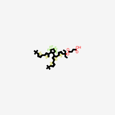 CCC(CC)(OC(=O)CCC(=O)O)c1ccc(-c2sc(-c3ccc(C(C)(C)C)s3)cc2C2=C(c3csc(-c4ccc(C(C)(C)C)s4)c3)C(F)(F)C(F)(F)C2(F)F)s1